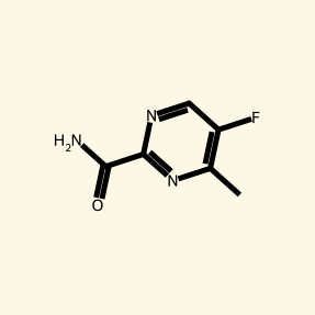 Cc1nc(C(N)=O)ncc1F